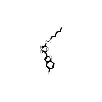 CCCCCSSc1nnc(-c2cc3cc(F)ccc3o2)o1